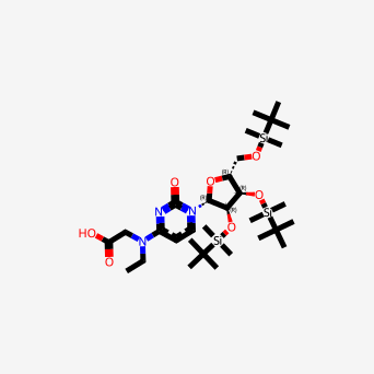 CCN(CC(=O)O)c1ccn([C@@H]2O[C@H](CO[Si](C)(C)C(C)(C)C)[C@@H](O[Si](C)(C)C(C)(C)C)[C@H]2O[Si](C)(C)C(C)(C)C)c(=O)n1